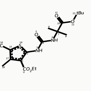 CCOC(=O)c1c(NC(=O)NC(C)(C)C(=O)OC(C)(C)C)sc(C#N)c1C